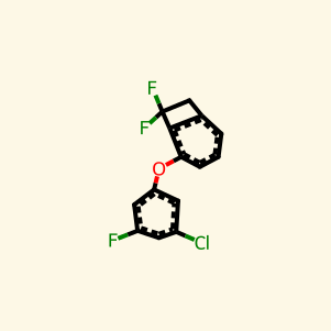 Fc1cc(Cl)cc(Oc2cccc3c2C(F)(F)C3)c1